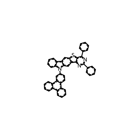 c1ccc(-c2nc(-c3ccccc3)c3sc4cc5c6ccccc6n(-c6ccc7c8ccccc8c8ccccc8c7c6)c5cc4c3n2)cc1